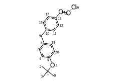 CC(C)(C)Oc1ccc(Cc2ccc(OOCl)cc2)cc1